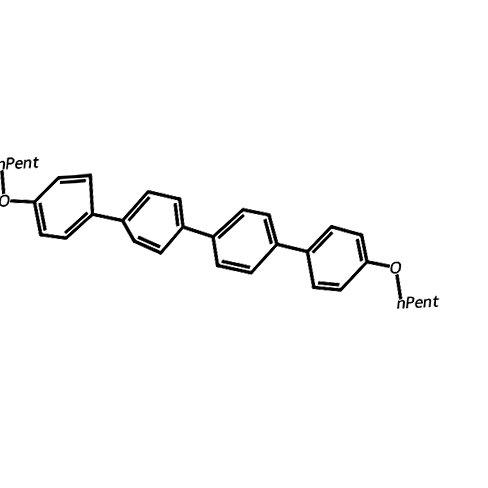 CCCCCOc1ccc(-c2ccc(-c3ccc(-c4ccc(OCCCCC)cc4)cc3)cc2)cc1